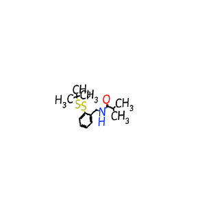 CC(C)C(=O)NCc1ccccc1SSC(C)(C)C